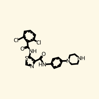 O=C(Nc1ccc(N2CCNCC2)cc1)c1ncsc1NC(=O)c1c(Cl)cccc1Cl